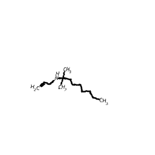 C=CCNC(C)(C)CCCCCCC